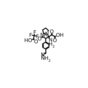 NN=Cc1ccc(C(C(N)=O)C(N)(C(=O)C(=O)O)N2CCCC2)cc1.O=C(O)C(F)(F)F